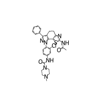 CC(=O)Nc1nc2c(s1)-c1c(c(-c3ccccc3)nn1-c1ccc(NC(=O)N3CCN(C)CC3)cc1Cl)CC2